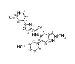 Cl.Cn1cc2cc(NC(=O)c3coc(-c4ccnc(Cl)c4)n3)c(N3CCCCC3)cc2n1